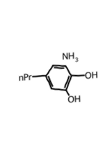 CCCc1ccc(O)c(O)c1.N